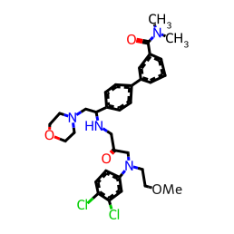 COCCN(CC(=O)CNC(CN1CCOCC1)c1ccc(-c2cccc(C(=O)N(C)C)c2)cc1)c1ccc(Cl)c(Cl)c1